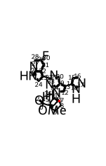 COC(=O)[C@@H]1C2CCC(CC2)[C@H]1n1cc(-c2ccn[nH]2)c2cnc(-c3c[nH]c4ncc(F)cc34)nc21